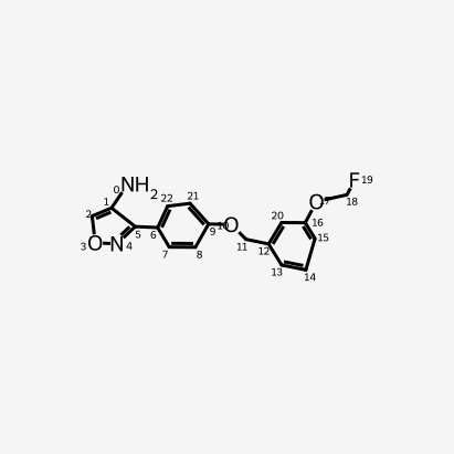 Nc1conc1-c1ccc(OCc2cccc(OCF)c2)cc1